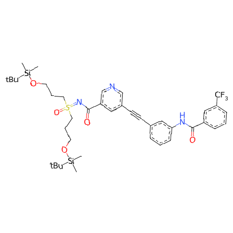 CC(C)(C)[Si](C)(C)OCCCS(=O)(CCCO[Si](C)(C)C(C)(C)C)=NC(=O)c1cncc(C#Cc2cccc(NC(=O)c3cccc(C(F)(F)F)c3)c2)c1